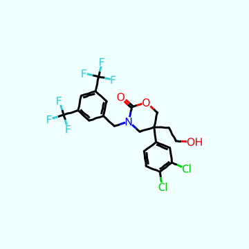 O=C1OCC(CCO)(c2ccc(Cl)c(Cl)c2)CN1Cc1cc(C(F)(F)F)cc(C(F)(F)F)c1